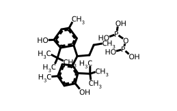 CCCC(c1cc(C)cc(O)c1C(C)(C)C)c1cc(C)cc(O)c1C(C)(C)C.OP(O)OP(O)O